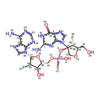 Nc1nc2c(ncn2[C@@]2(OP(O)(=S)OC[C@H]3O[C@@H](n4cnc5c(N)ncnc54)[C@H](F)[C@@H]3O)CO[C@H](CO)[C@H]2F)c(=O)[nH]1